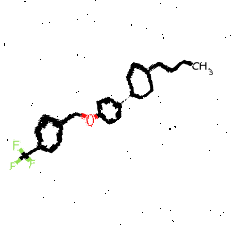 CCCC[C@H]1CC[C@H](c2ccc(OCc3ccc(C(F)(F)F)cc3)cc2)CC1